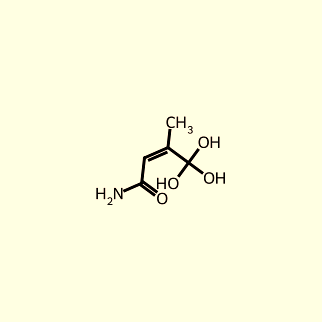 CC(=CC(N)=O)C(O)(O)O